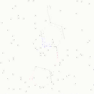 CC(C)c1ccc(O[C@@H]2CCOC2)nc1